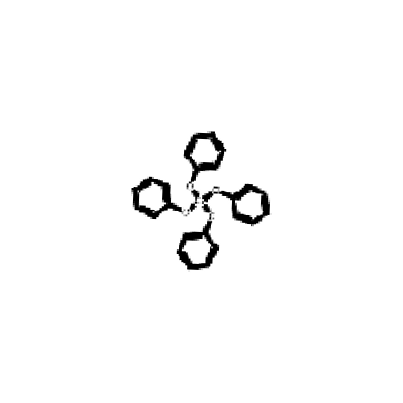 c1ccc([O][Ge]([O]c2ccccc2)([O]c2ccccc2)[O]c2ccccc2)cc1